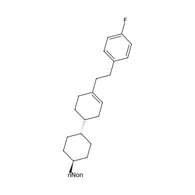 CCCCCCCCC[C@H]1CC[C@H](C2CC=C(CCc3ccc(F)cc3)CC2)CC1